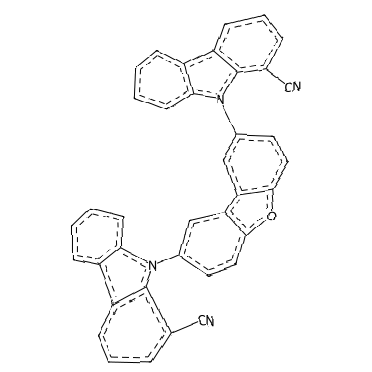 N#Cc1cccc2c3ccccc3n(-c3ccc4oc5ccc(-n6c7ccccc7c7cccc(C#N)c76)cc5c4c3)c12